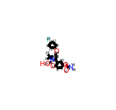 CN(C)C(=O)Oc1cccc(C(CCOc2ccc(F)cc2)N(C(=O)O)C(C)(C)C)c1